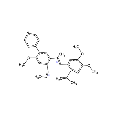 C=C(C)c1cc(OC)c(OC)cc1/C=C(\C)c1cc(-c2ccncc2)c(OC)cc1/C=C\C